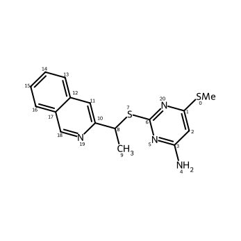 CSc1cc(N)nc(SC(C)c2cc3ccccc3cn2)n1